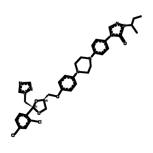 CCC(C)n1ncn(-c2ccc(N3CCN(c4ccc(OC[C@@H]5CO[C@@](Cn6cncn6)(c6ccc(Cl)cc6Cl)O5)cc4)CC3)cc2)c1=O